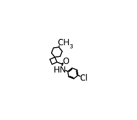 CC1CCC2(CC1)CCC2C(=O)Nc1ccc(Cl)cc1